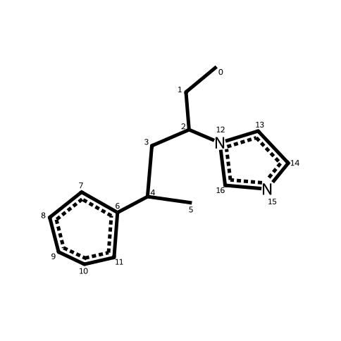 CCC(CC(C)c1ccccc1)n1ccnc1